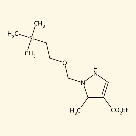 CCOC(=O)C1=CNN(COCC[Si](C)(C)C)C1C